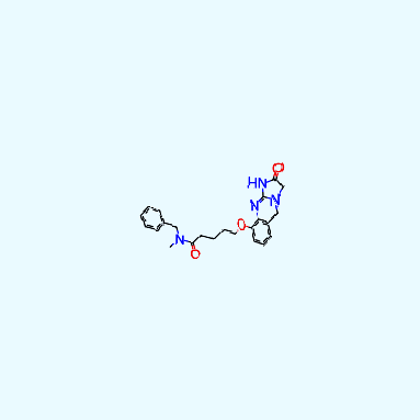 CN(Cc1ccccc1)C(=O)CCCCOc1cccc2c1N=C1NC(=O)CN1C2